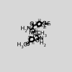 COc1ccc(N(c2nc(N)c(C(=O)c3ccc(OC(F)F)cc3)s2)[C@@H](C)C(N)=O)cc1